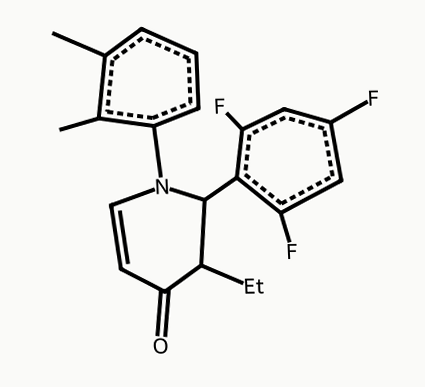 CCC1C(=O)C=CN(c2cccc(C)c2C)C1c1c(F)cc(F)cc1F